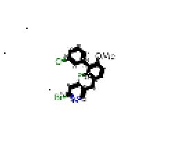 COc1ccc(Cc2ccc(Br)nc2)c(F)c1-c1cccc(Cl)c1